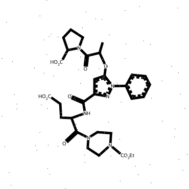 CCOC(=O)N1CCN(C(=O)C(CCC(=O)O)NC(=O)c2cc(OC(C)C(=O)N3CCCC3C(=O)O)n(-c3ccccc3)n2)CC1